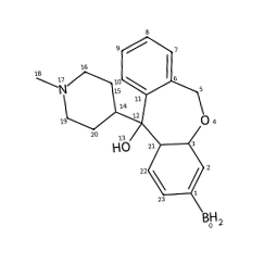 BC1=CC2OCc3ccccc3C(O)(C3CCN(C)CC3)C2C=C1